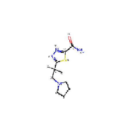 CC(C)(CN1CCCC1)c1nnc(C(N)=O)s1